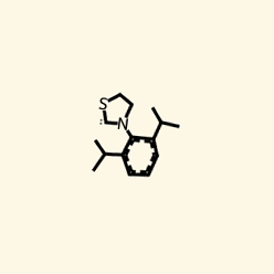 CC(C)c1cccc(C(C)C)c1N1[C]SCC1